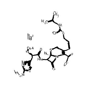 CC(C)NC(=O)OC/C=C\C1=C(C(=O)[O-])N2C(=O)C(NC(=O)/C(=N\O)c3csc(N)n3)[C@H]2SC1.[Na+]